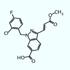 COC(=O)/C=C/c1nn(Cc2ccc(F)cc2Cl)c2cc(C(=O)O)ccc12